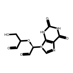 O=CC(CO)O[C@H](C=O)n1cnc2c(=O)[nH]c(=O)[nH]c21